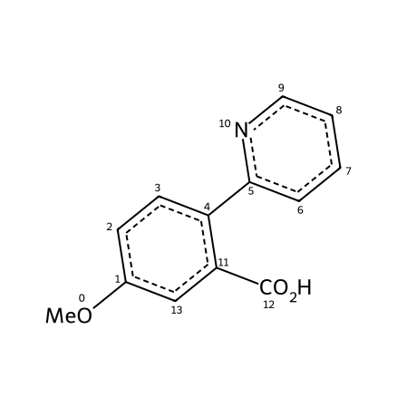 COc1ccc(-c2ccccn2)c(C(=O)O)c1